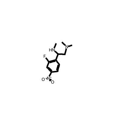 CNC(CN(C)C)c1ccc([N+](=O)[O-])cc1F